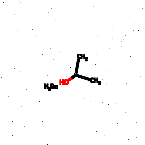 CC(C)O.[BaH2]